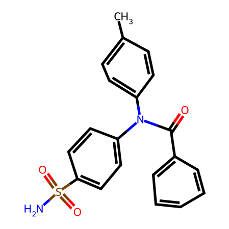 Cc1ccc(N(C(=O)c2ccccc2)c2ccc(S(N)(=O)=O)cc2)cc1